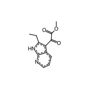 CCc1[nH]c2ncccc2c1C(=O)C(=O)OC